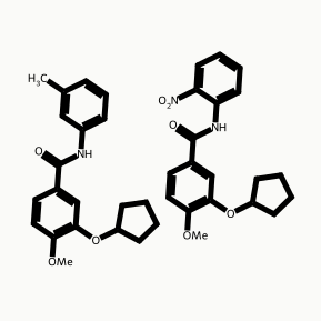 COc1ccc(C(=O)Nc2cccc(C)c2)cc1OC1CCCC1.COc1ccc(C(=O)Nc2ccccc2[N+](=O)[O-])cc1OC1CCCC1